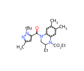 CCOC(=O)N1c2cc(C)c(C)cc2N(C(=O)c2cc(C)nn2C(C)(C)C)CC1CC